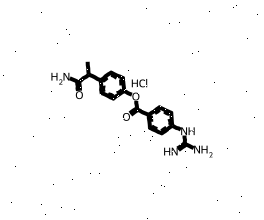 CC(C(N)=O)c1ccc(OC(=O)c2ccc(NC(=N)N)cc2)cc1.Cl